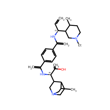 C=C[C@H](NC(=C)c1ccc(C(=C)N[C@@H](C(=C)O)C2CN3CCC2C(C)C3)cc1)C1CN(CC)CCC1C